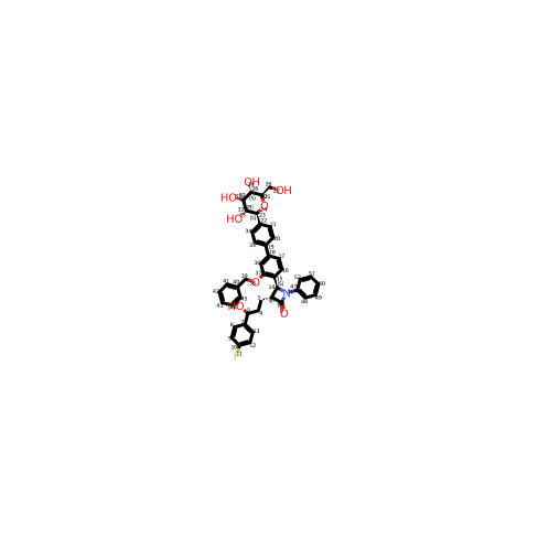 O=C1[C@H](CCC(O)c2ccc(F)cc2)[C@@H](c2ccc(-c3ccc([C@@H]4O[C@H](CO)[C@@H](O)[C@H](O)[C@H]4O)cc3)cc2OCc2ccccc2)N1c1ccccc1